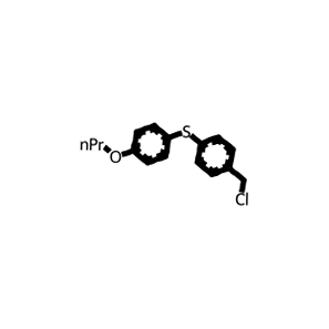 CCCOc1ccc(Sc2ccc(CCl)cc2)cc1